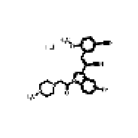 COc1ccc(C#N)cc1/C=C(\C#N)c1cn(C(=O)CN2CCN(C)CC2)c2ccc(Br)cc12.Cl